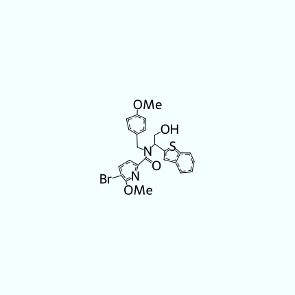 COc1ccc(CN(C(=O)c2ccc(Br)c(OC)n2)C(CO)c2cc3ccccc3s2)cc1